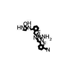 N#Cc1cccc(-c2cc3nc(Cc4c(F)cccc4CN[C@H]4CCNC4=O)nn3c(N)n2)c1F